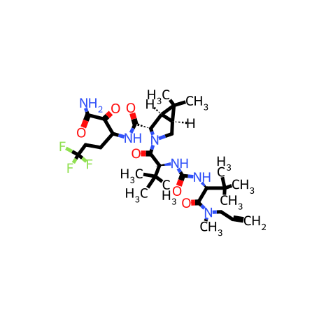 C=CCN(C)C(=O)[C@@H](NC(=O)N[C@H](C(=O)N1C[C@H]2[C@@H]([C@H]1C(=O)NC(CCC(F)(F)F)C(=O)C(N)=O)C2(C)C)C(C)(C)C)C(C)(C)C